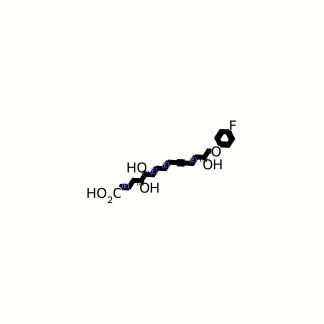 O=C(O)/C=C/C[C@H](O)[C@H](O)/C=C/C=C/C#C/C=C/[C@H](O)COc1ccc(F)cc1